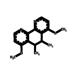 COc1ccnc2c1C(C)C(C)c1c(OC)ccnc1-2